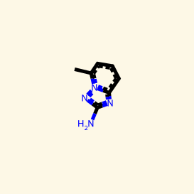 Cc1cccc2nc(N)nn12